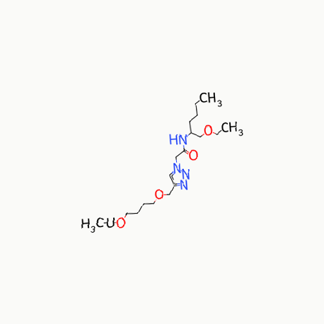 CCCCC(COCC)NC(=O)Cn1cc(COCCCC[O][U][CH3])nn1